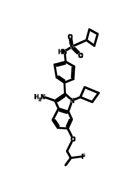 CC(F)COc1ccc2c(N)c(-c3ccc(NS(=O)(=O)C4CCC4)cc3)n(C3CCC3)c2c1